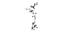 CC(C)(C)c1nc(C2CCC2)cc(N2CCN(CCCSc3ncccn3)CC2)n1